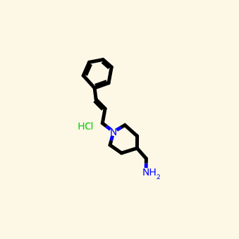 Cl.NCC1CCN(CC=Cc2ccccc2)CC1